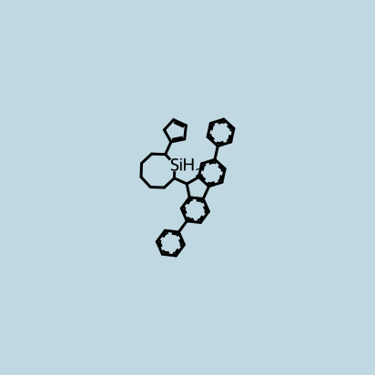 C1=CCC(C2CCCCCC(C3c4cc(-c5ccccc5)ccc4-c4ccc(-c5ccccc5)cc43)[SiH2]2)=C1